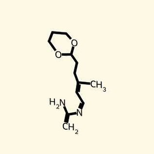 C=C(N)/N=C\C=C(/C)CCC1OCCCO1